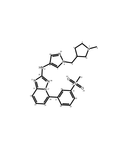 CN1CCC(Cn2cc(Nc3nc4cccc(-c5cccc(S(C)(=O)=O)c5)n4n3)cn2)C1